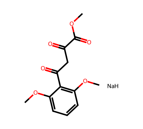 COC(=O)C(=O)CC(=O)c1c(OC)cccc1OC.[NaH]